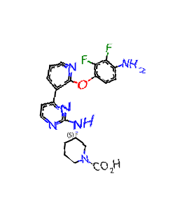 Nc1ccc(Oc2ncccc2-c2ccnc(N[C@H]3CCCN(C(=O)O)C3)n2)c(F)c1F